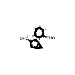 O=Cc1cc2cc-2c1.O=Cc1ccccc1